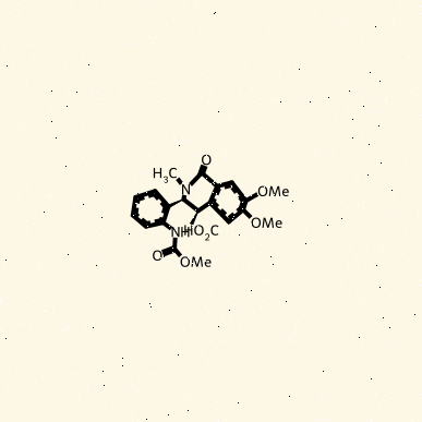 COC(=O)Nc1ccccc1[C@@H]1[C@H](C(=O)O)c2cc(OC)c(OC)cc2C(=O)N1C